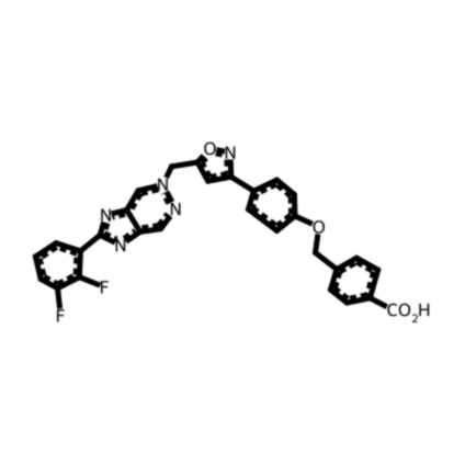 O=C(O)c1ccc(COc2ccc(-c3cc(Cn4cc5nc(-c6cccc(F)c6F)nc-5cn4)on3)cc2)cc1